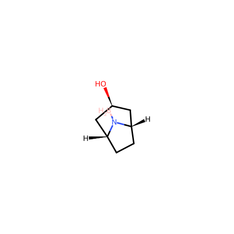 BN1[C@@H]2CC[C@H]1C[C@H](O)C2